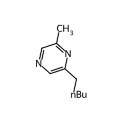 CCCCCc1cncc(C)n1